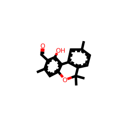 Cc1ccc2c(c1)-c1c(cc(C)c(C=O)c1O)OC2(C)C